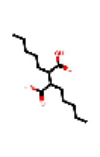 CCCCCC(C(=O)O)C(CCCCC)C(=O)O